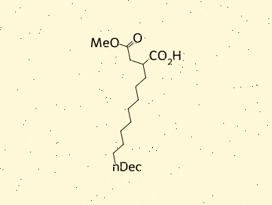 CCCCCCCCCCCCCCCCCCC(CC(=O)OC)C(=O)O